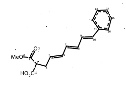 COC(=O)C(C/C=C/C=C/C=C/c1ccccc1)C(=O)O